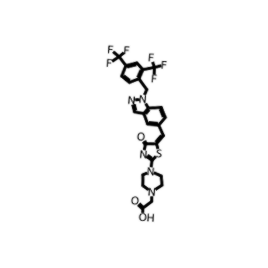 O=C(O)CN1CCN(C2=NC(=O)C(=Cc3ccc4c(cnn4Cc4ccc(C(F)(F)F)cc4C(F)(F)F)c3)S2)CC1